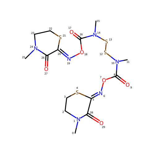 CN1CCSC(=NOC(=O)N(C)SSN(C)C(=O)ON=C2SCCN(C)C2=O)C1=O